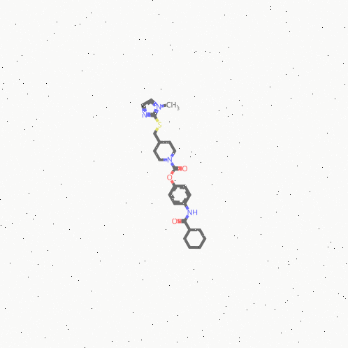 Cn1ccnc1SCC1CCN(C(=O)Oc2ccc(NC(=O)C3CCCCC3)cc2)CC1